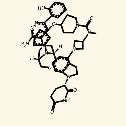 CN(C(=O)N1CCC(Oc2cccc(N3[C@@H]4COC[C@H]3CN(c3cc(-c5ccccc5O)nnc3N)C4)c2)CC1)C1CN(c2cccc3c2CCN3[C@@H]2CCC(=O)NC2=O)C1